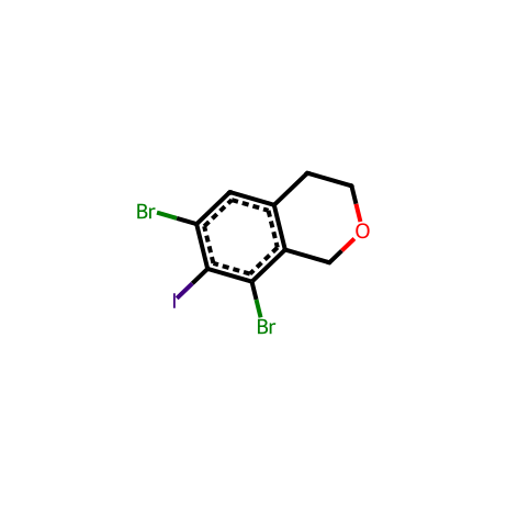 Brc1cc2c(c(Br)c1I)COCC2